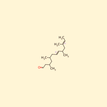 C/C=C(\C)CC(C)/C=C/CC(C)CC(C)CC=O